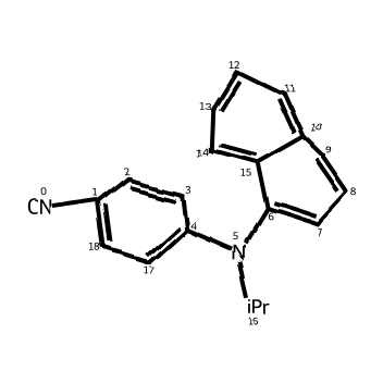 [C-]#[N+]c1ccc(N(c2cccc3ccccc23)C(C)C)cc1